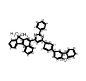 CC1(C)c2ccccc2-c2c1cc(-c1cc(-c3ccc(-c4ccc5oc6ccccc6c5c4)cc3)nc(-c3ccccc3)n1)c1ccccc21